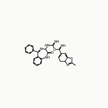 CC1=NC2CC=C(C(=N)OC(=N)NC3N=C(c4ccccc4)c4ccccc4NC3=O)C=C2S1